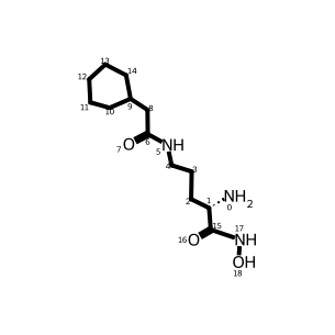 N[C@@H](CCCNC(=O)CC1CCCCC1)C(=O)NO